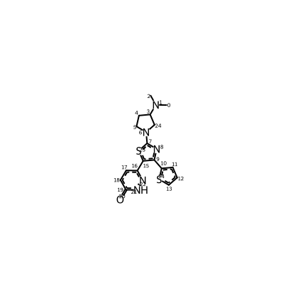 CN(C)C1CCN(c2nc(-c3cccs3)c(-c3ccc(=O)[nH]n3)s2)C1